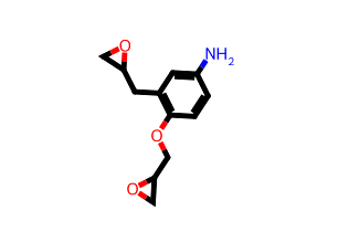 Nc1ccc(OCC2CO2)c(CC2CO2)c1